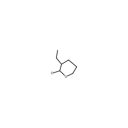 CCC1CCCOC1Cl